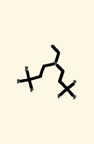 CCP(CCC(F)(F)F)CCC(F)(F)F